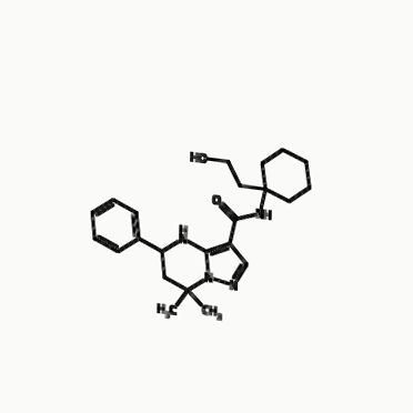 CC1(C)CC(c2ccccc2)Nc2c(C(=O)NC3(CCO)CCCCC3)cnn21